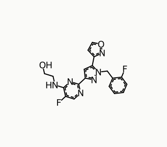 OCCNc1nc(-c2cc(-c3ccon3)n(Cc3ccccc3F)n2)ncc1F